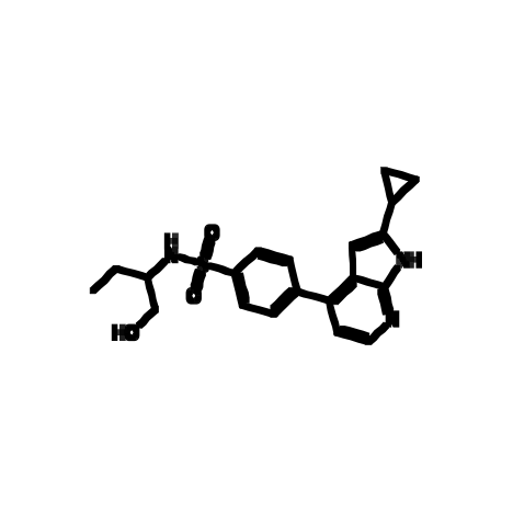 CCC(CO)NS(=O)(=O)c1ccc(-c2ccnc3[nH]c(C4CC4)cc23)cc1